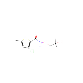 Cc1cc(Cl)c(C(=O)NOCC(C)(C)O)s1